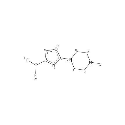 CN1CCN(c2nc(C(F)F)co2)CC1